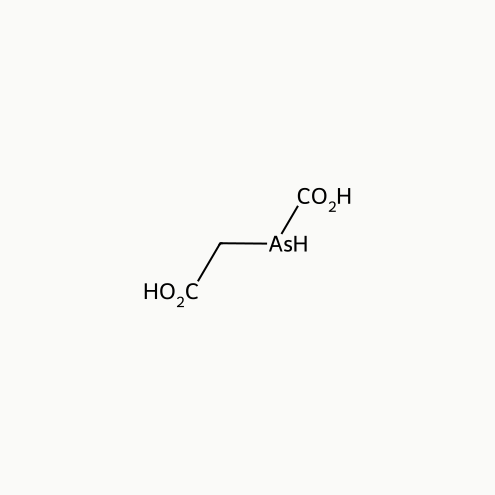 O=C(O)C[AsH]C(=O)O